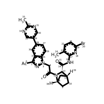 CC(=O)c1nn(CC(=O)N2[C@H]3CC[C@H](C3)[C@H]2C(=O)Nc2nc(Br)ccc2C)c2ccc(-c3cnc(C)nc3)cc12